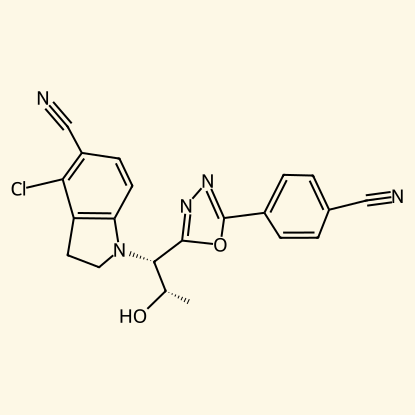 C[C@H](O)[C@@H](c1nnc(-c2ccc(C#N)cc2)o1)N1CCc2c1ccc(C#N)c2Cl